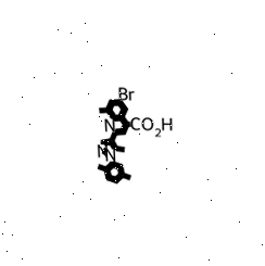 Cc1ccc(C)c(-n2ncc(-c3cc(C(=O)O)c4cc(Br)cc(C)c4n3)c2C)c1